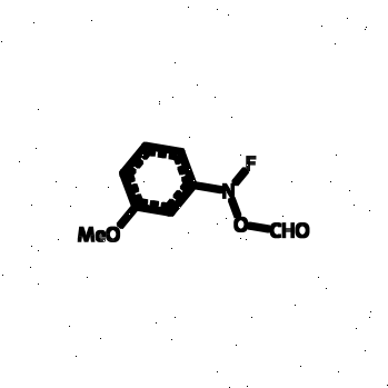 COc1cccc(N(F)OC=O)c1